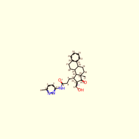 Cc1ccc(NC(=O)CC[C@@H]2/C(=C/O)C(=O)[C@@]3(C)CCC4c5ccccc5CCC4C23)nn1